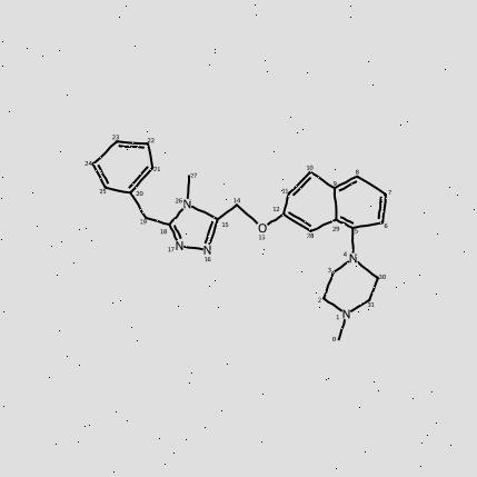 CN1CCN(c2cccc3ccc(OCc4nnc(Cc5ccccc5)n4C)cc23)CC1